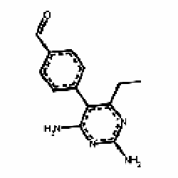 CCc1nc(N)nc(N)c1-c1ccc(C=O)cc1